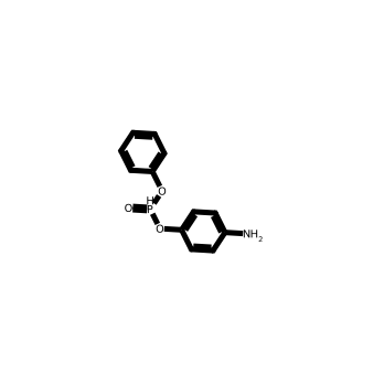 Nc1ccc(O[PH](=O)Oc2ccccc2)cc1